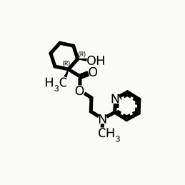 CN(CCOC(=O)[C@]1(C)CCCC[C@H]1O)c1ccccn1